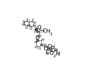 Cc1oc(-c2ccc3ccccc3c2)nc1CO[C@H]1CCC[C@@H](COC(C)(C)C(=O)O)C1